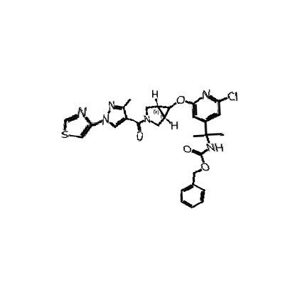 Cc1nn(-c2cscn2)cc1C(=O)N1C[C@@H]2C(Oc3cc(C(C)(C)NC(=O)OCc4ccccc4)cc(Cl)n3)[C@@H]2C1